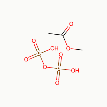 COC(C)=O.O=S(=O)(O)OS(=O)(=O)O